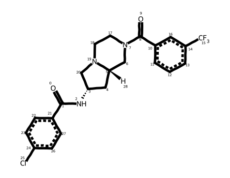 O=C(N[C@H]1C[C@H]2CN(C(=O)c3cccc(C(F)(F)F)c3)CCN2C1)c1ccc(Cl)cc1